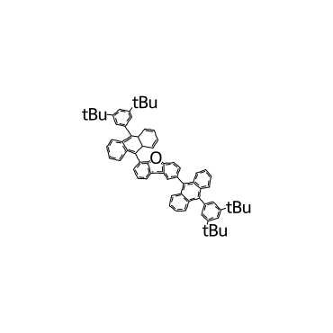 CC(C)(C)c1cc(C2=c3ccccc3=C(c3cccc4c3oc3ccc(-c5c6ccccc6c(-c6cc(C(C)(C)C)cc(C(C)(C)C)c6)c6ccccc56)cc34)C3C=CC=CC23)cc(C(C)(C)C)c1